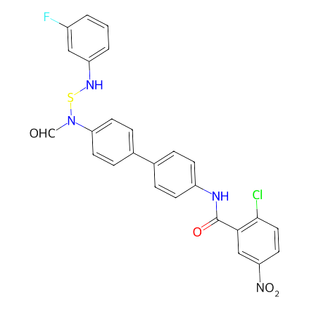 O=CN(SNc1cccc(F)c1)c1ccc(-c2ccc(NC(=O)c3cc([N+](=O)[O-])ccc3Cl)cc2)cc1